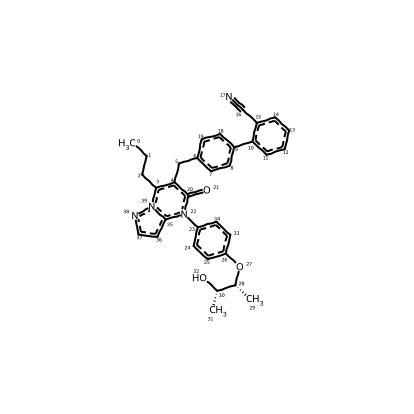 CCCc1c(Cc2ccc(-c3ccccc3C#N)cc2)c(=O)n(-c2ccc(O[C@H](C)[C@H](C)O)cc2)c2ccnn12